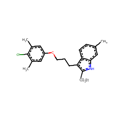 CCOC(=O)c1[nH]c2cc(C)ccc2c1CCCOc1cc(C)c(Cl)c(C)c1